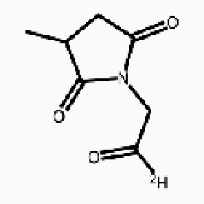 [2H]C(=O)CN1C(=O)CC(C)C1=O